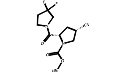 CC(C)(C)OC(=O)N1C[C@@H](C#N)C[C@H]1C(=O)N1CCC(F)(F)C1